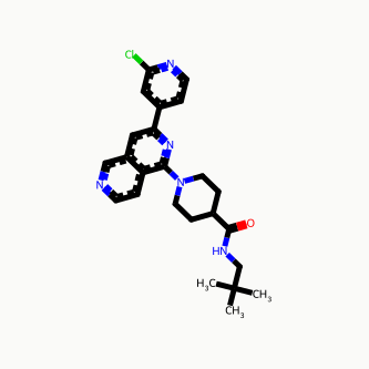 CC(C)(C)CNC(=O)C1CCN(c2nc(-c3ccnc(Cl)c3)cc3cnccc23)CC1